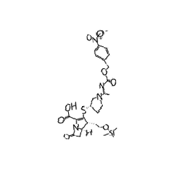 CC(=NC(=O)OCc1ccc([N+](=O)[O-])cc1)N1CC[C@H](SC2=C(C(=O)O)N3C(=O)C[C@@H]3[C@H]2CCO[Si](C)(C)C)C1